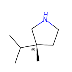 CC(C)[C@@]1(C)CCNC1